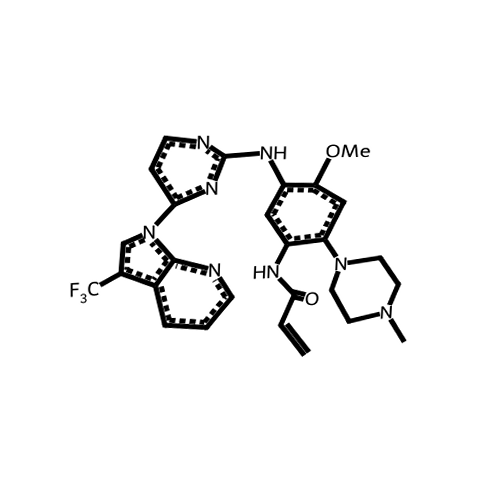 C=CC(=O)Nc1cc(Nc2nccc(-n3cc(C(F)(F)F)c4cccnc43)n2)c(OC)cc1N1CCN(C)CC1